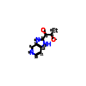 CCC([O])C(=O)c1nc2cnccc2[nH]1